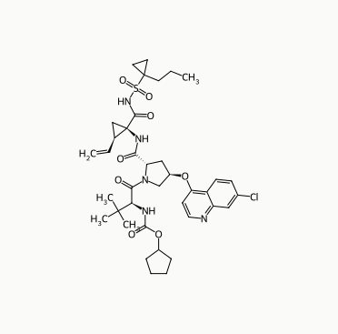 C=C[C@H]1C[C@]1(NC(=O)[C@@H]1C[C@@H](Oc2ccnc3cc(Cl)ccc23)CN1C(=O)[C@@H](NC(=O)OC1CCCC1)C(C)(C)C)C(=O)NS(=O)(=O)C1(CCC)CC1